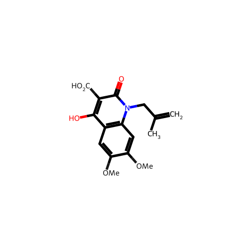 C=C(C)Cn1c(=O)c(C(=O)O)c(O)c2cc(OC)c(OC)cc21